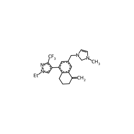 C=C1CCCc2c1cc(CN1C=CN(C)C1)cc2-c1cn(CC)nc1C(F)(F)F